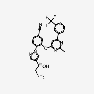 Cc1nc(Oc2cc(C#N)ccc2-n2cc([C@H](O)CN)cn2)cc(-c2cccc(C(F)(F)F)c2)n1